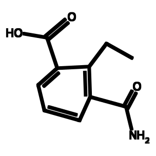 CCc1c(C(N)=O)cccc1C(=O)O